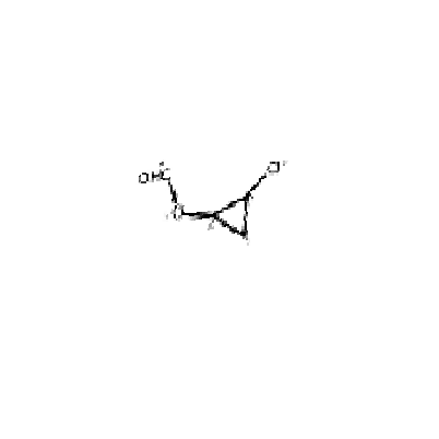 O=COC1CC1Cl